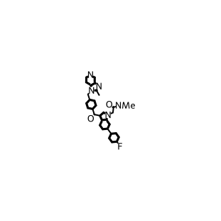 CNC(=O)Cn1cc(C(=O)c2ccc(Cn3c(C)nc4cnccc43)cc2)c2ccc(-c3ccc(F)cc3)cc21